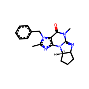 Cc1nc2c(n1Cc1ccccc1)C(=O)N(C)C1=NC3CCC[C@@H]3N12